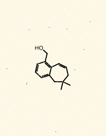 CC1(C)CC=Cc2c(CO)cccc2C1